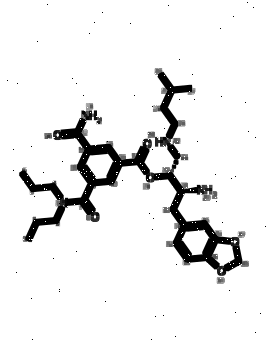 CCCN(CCC)C(=O)c1cc(C(N)=O)cc(C(=O)O[C@H](CNCCC(C)C)[C@@H](N)Cc2ccc3c(c2)OCO3)c1